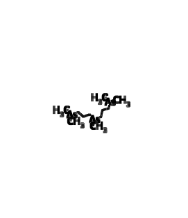 C[As](C)CCC[As](C)CCC[As](C)C